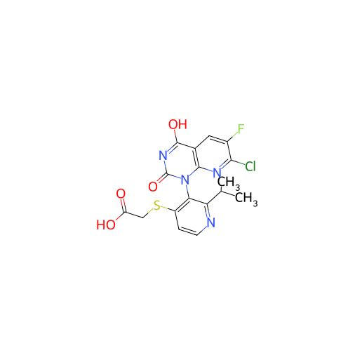 CC(C)c1nccc(SCC(=O)O)c1-n1c(=O)nc(O)c2cc(F)c(Cl)nc21